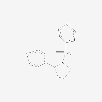 O=S(=O)(c1ccccc1)C1NCCC1c1ccccc1